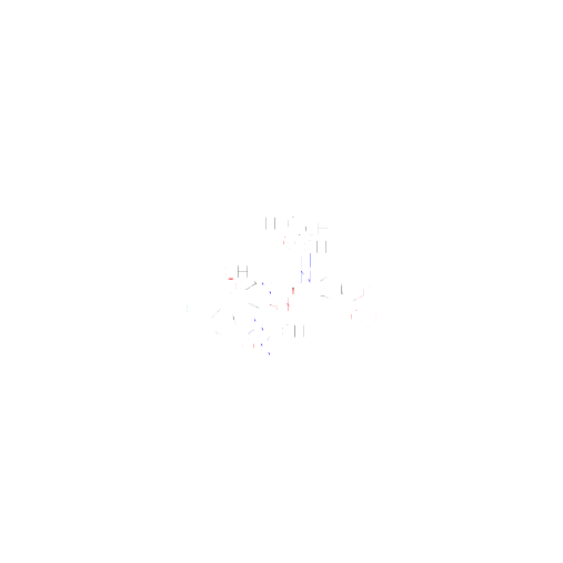 COc1cn(C(CCOC(C)(C)C)C(=O)Nc2ccc(C(=O)O)cc2)c(=O)cc1-c1cc(Cl)ccc1-c1nc(C)no1